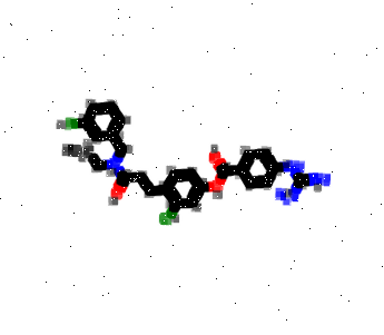 N=C(N)Nc1ccc(C(=O)Oc2ccc(CCC(=O)N(CC(=O)O)Cc3cccc(F)c3)c(Cl)c2)cc1